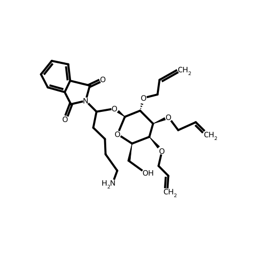 C=CCO[C@H]1[C@@H](OCC=C)[C@@H](CO)O[C@@H](OC(CCCCN)N2C(=O)c3ccccc3C2=O)[C@@H]1OCC=C